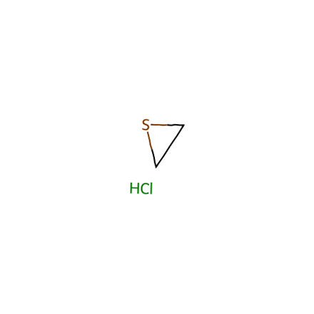 C1CS1.Cl